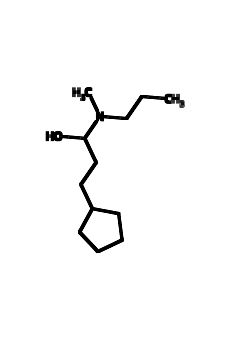 CCCN(C)C(O)CCC1CCCC1